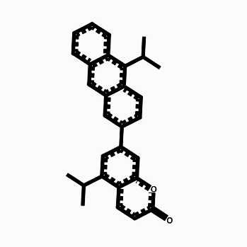 CC(C)c1c2ccccc2cc2cc(-c3cc(C(C)C)c4ccc(=O)oc4c3)ccc12